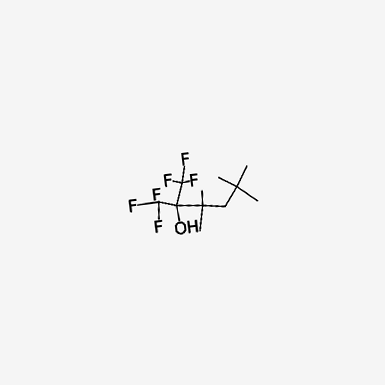 CC(C)(C)CC(C)(C)C(O)(C(F)(F)F)C(F)(F)F